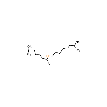 C=C(C)CCCCC(C)PCCCCCCC(C)C